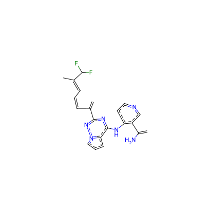 C=C(/C=C\C=C(/C)C(F)F)c1nc(Nc2ccncc2C(=C)N)c2cccn2n1